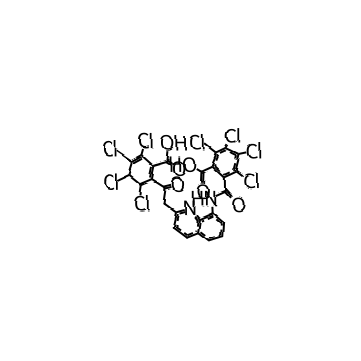 O=C(O)C1=C(C(=O)Cc2ccc3cccc(NC(=O)c4c(Cl)c(Cl)c(Cl)c(Cl)c4C(=O)O)c3n2)C(Cl)C(Cl)C(Cl)=C1Cl